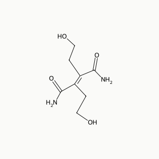 NC(=O)C(CCO)=C(CCO)C(N)=O